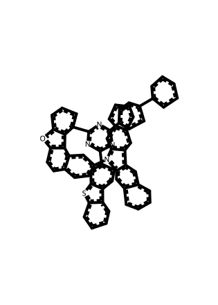 c1ccc(-c2ccc(-c3nc(-c4ccc5c(c4)sc4ccccc45)nc(-c4cccc5oc6ccc7ccc(-n8c9cc%10ccccc%10cc9c9cc%10ccccc%10cc98)cc7c6c45)n3)cc2)cc1